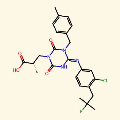 Cc1ccc(Cn2c(=O)n(C[C@H](C)C(=O)O)c(=O)[nH]/c2=N\c2ccc(CC(C)(C)F)c(Cl)c2)cc1